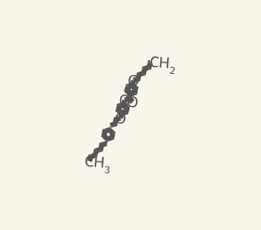 C=CCCCCCOc1ccc(C(=O)Oc2ccc(OCCC[C@H]3CC[C@H](CCCCCCC)CC3)cc2)cc1